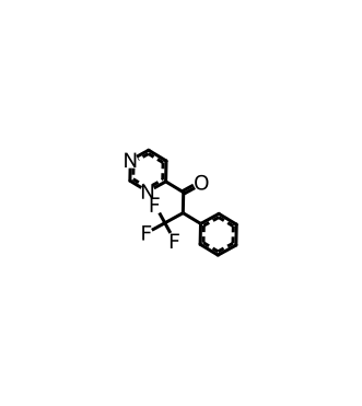 O=C(c1ccncn1)C(c1ccccc1)C(F)(F)F